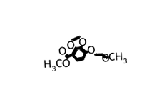 COCCOc1ccc(C(=O)OC)c2c1OCCO2